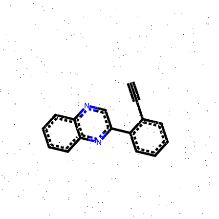 C#Cc1ccccc1-c1cnc2ccccc2n1